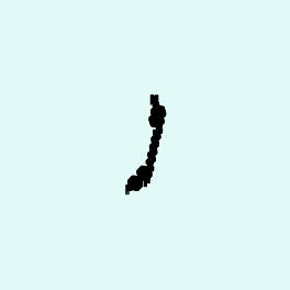 N#Cc1ccc2cc(SCCCCCCCCCSc3ccc(-c4ccc(F)cc4)c(F)c3)ccc2c1